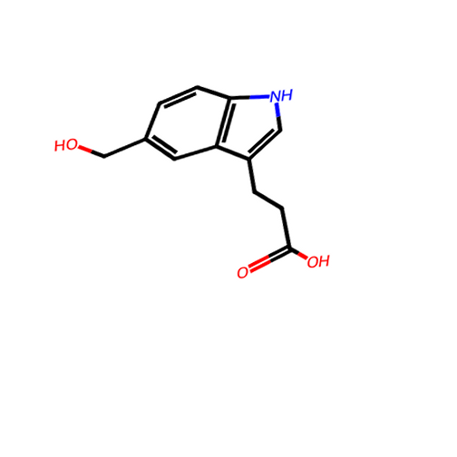 O=C(O)CCc1c[nH]c2ccc(CO)cc12